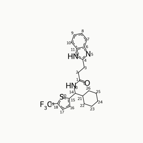 O=C(CCc1nc2ccccc2[nH]1)NC(c1ccc(C(F)(F)F)s1)C1CCCCC1